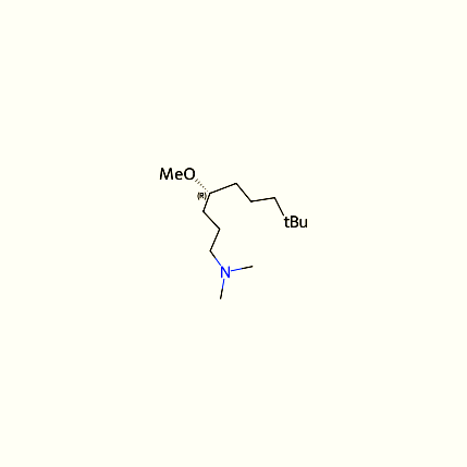 CO[C@@H](CCCN(C)C)CCCC(C)(C)C